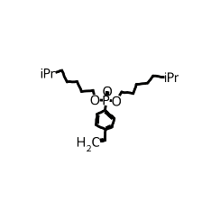 C=Cc1ccc(P(=O)(OCCCCCC(C)C)OCCCCCC(C)C)cc1